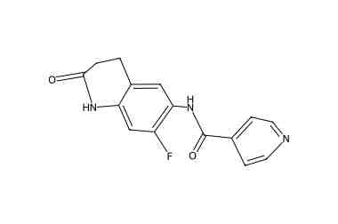 O=C1CCc2cc(NC(=O)c3ccncc3)c(F)cc2N1